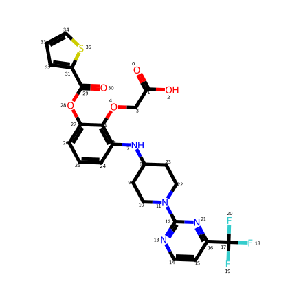 O=C(O)COc1c(NC2CCN(c3nccc(C(F)(F)F)n3)CC2)cccc1OC(=O)c1cccs1